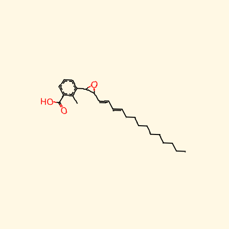 CCCCCCCCCC/C=C/C=C/C1OC1c1cccc(C(=O)O)c1C